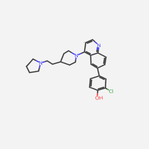 Oc1ccc(-c2ccc3nc[c]c(N4CCC(CCN5CCCC5)CC4)c3c2)cc1Cl